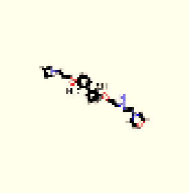 Cc1c(OCCCNCCN2CCOCC2)cccc1-c1cccc(OCCCN2CCCC2)c1C